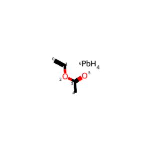 C=COC(C)=O.[PbH4]